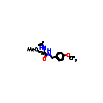 C=C(C)N[C@H](COC)C(=O)NCc1ccc(OC(F)(F)F)cc1